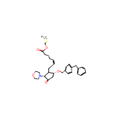 CSCOC(=O)CCC/C=C\CC1[C@H](N2CCOCC2)C(=O)C[C@H]1OCc1ccc(Cc2ccccc2)cc1